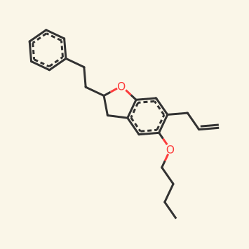 C=CCc1cc2c(cc1OCCCC)CC(CCc1ccccc1)O2